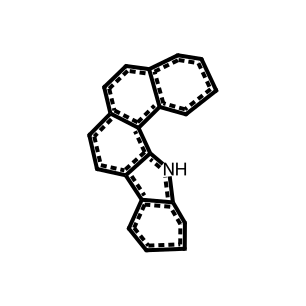 c1ccc2c(c1)ccc1ccc3c4ccccc4[nH]c3c12